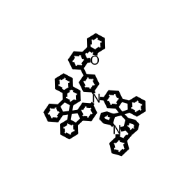 c1ccc2c(c1)-c1ccc(N(c3ccc(-c4cccc5c4oc4ccccc45)cc3)c3ccc4c(c3)C3(c5ccccc5-4)c4ccccc4-n4c5ccccc5c5cccc3c54)cc1C21c2ccccc2-c2c1ccc1ccccc21